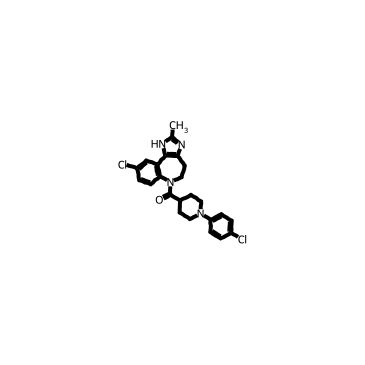 Cc1nc2c([nH]1)-c1cc(Cl)ccc1N(C(=O)C1CCN(c3ccc(Cl)cc3)CC1)CC2